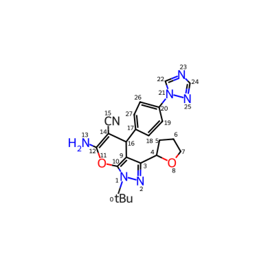 CC(C)(C)n1nc(C2CCCO2)c2c1OC(N)=C(C#N)C2c1ccc(-n2cncn2)cc1